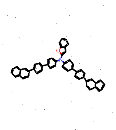 c1ccc2cc(-c3ccc(-c4ccc(N(c5ccc(-c6ccc(-c7ccc8ccccc8c7)cc6)cc5)c5cc6ccccc6o5)cc4)cc3)ccc2c1